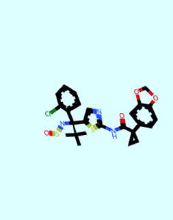 CC(C)(C)[C@](N=S=O)(c1cnc(NC(=O)C2(c3ccc4c(c3)OCO4)CC2)s1)c1ccccc1Cl